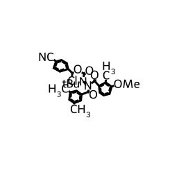 COc1cccc(C(=O)N(C(=O)c2cc(C)cc(C)c2)N(C(=O)OC(Cl)c2ccc(C#N)cc2)C(C)(C)C)c1C